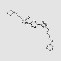 O=C(NCCCN1CCCC1)Nc1ccc(-c2nnc(CCCCOc3ccccc3)o2)cc1